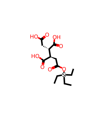 CC[Si](CC)(CC)OC(=O)C[C@@H](C(=O)O)[C@H](CC(=O)O)C(=O)O